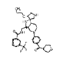 CCCO[C@@H]1CNC[C@]1(NC(=O)CNC(=O)c1cccc(C(F)(F)F)c1)C1CCN(c2ccc(C(=O)N3CCOCC3)cc2)CC1